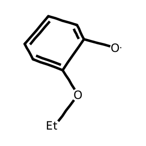 CCOc1ccccc1[O]